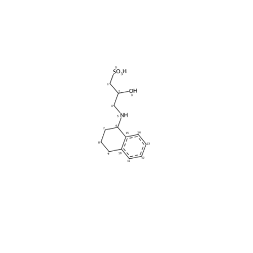 O=S(=O)(O)CC(O)CNC1CCCc2ccccc21